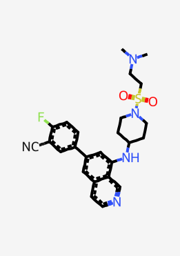 CN(C)CCS(=O)(=O)N1CCC(Nc2cc(-c3ccc(F)c(C#N)c3)cc3ccncc23)CC1